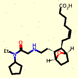 CCN(C(=O)CNCC[C@@H]1[C@@H](C/C=C\CCCC(=O)O)[C@H]2CC[C@@H]1O2)C1CCCC1